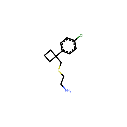 NCCSCC1(c2ccc(Cl)cc2)CCC1